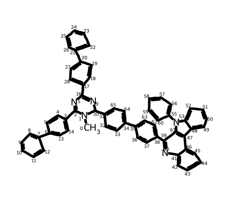 CN1C(c2ccc(-c3ccccc3)cc2)=NC(c2ccc(-c3ccccc3)cc2)=NC1c1ccc(-c2ccc(-c3nc4ccccc4c4c5ccccc5n(-c5ccccc5)c34)cc2)cc1